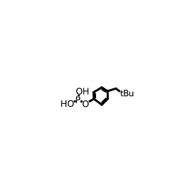 CC(C)(C)Cc1ccc(OP(O)O)cc1